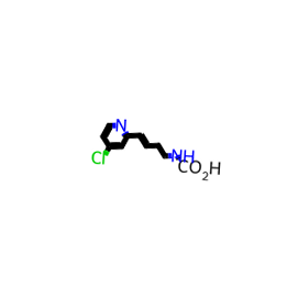 O=C(O)NCCC=Cc1cc(Cl)ccn1